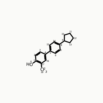 Oc1ccc(-c2ccc(C3CCCC3)cc2)cc1C(F)(F)F